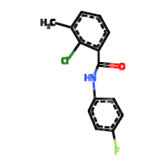 Cc1cccc(C(=O)Nc2ccc(F)cc2)c1Cl